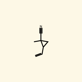 C=CC1CC1(C)C#N